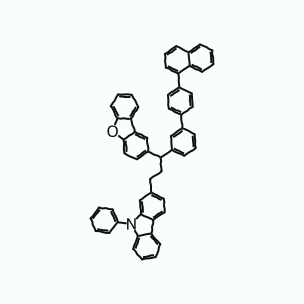 c1ccc(-n2c3ccccc3c3ccc(CCC(c4cccc(-c5ccc(-c6cccc7ccccc67)cc5)c4)c4ccc5oc6ccccc6c5c4)cc32)cc1